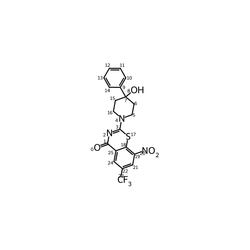 O=c1nc(N2CCC(O)(c3ccccc3)CC2)sc2c([N+](=O)[O-])cc(C(F)(F)F)cc12